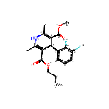 COCCOC(=O)C1=C(C)NC(C)=C(C(=O)OC(C)C)C1c1cccc(F)c1F